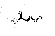 CCON=CC(N)=O